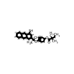 CCC(C)(C)C(=O)OC1CC2CC1CC2OC(C)(C)c1cc(S)c2cc3ccccc3cc2c1